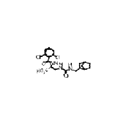 O=C(NCC1CC2CCC1C2)NC[C@H](NC(=O)c1c(Cl)cccc1Cl)C(=O)O